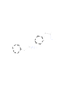 CC(N)Cc1ccc(NCCc2ccccc2)cc1